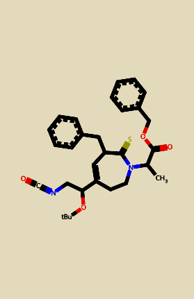 CC(C(=O)OCc1ccccc1)N1CCC(C(CN=C=O)OC(C)(C)C)=CC(Cc2ccccc2)C1=S